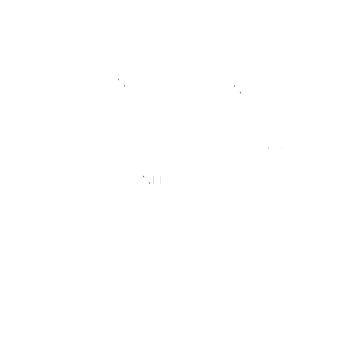 Cc1ncc(-c2ncccc2Nc2ccccc2)s1